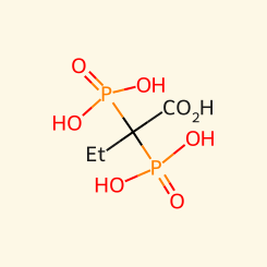 CCC(C(=O)O)(P(=O)(O)O)P(=O)(O)O